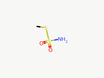 CSS(N)(=O)=O